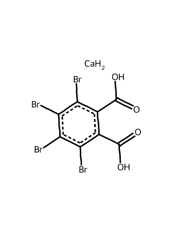 O=C(O)c1c(Br)c(Br)c(Br)c(Br)c1C(=O)O.[CaH2]